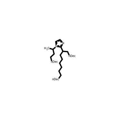 CCCCCCCCCCCCCCCCC(CCCCCCCCCCC)c1nccn1C(C)CCCCCCCCCCCC